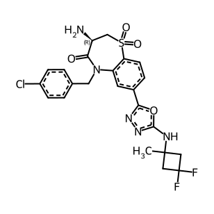 CC1(Nc2nnc(-c3ccc4c(c3)N(Cc3ccc(Cl)cc3)C(=O)[C@@H](N)CS4(=O)=O)o2)CC(F)(F)C1